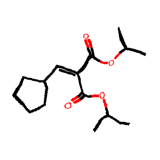 CC(C)OC(=O)C(=CC1CCCC1)C(=O)OC(C)C